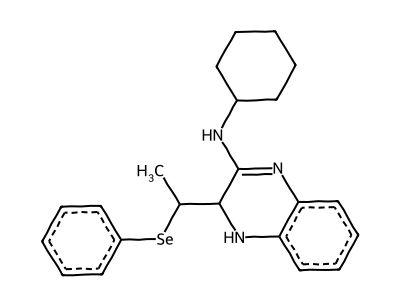 CC([Se]c1ccccc1)C1Nc2ccccc2N=C1NC1CCCCC1